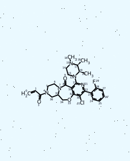 C=CC(=O)N1CCN2C(=O)c3c(N4CCN(C)[C@@H](C)[C@H]4C)nc(-c4ccccc4F)c(Cl)c3OCC2C1